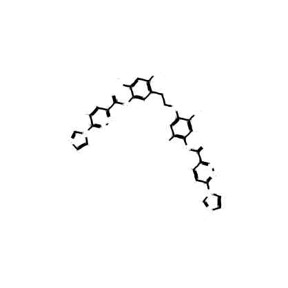 O=C(Nc1cc(CCOc2cc(C(=O)O)c(NC(=O)c3ccc(-n4ccnc4)nn3)cc2F)c(F)cc1C(=O)O)c1ccc(-n2ccnc2)nn1